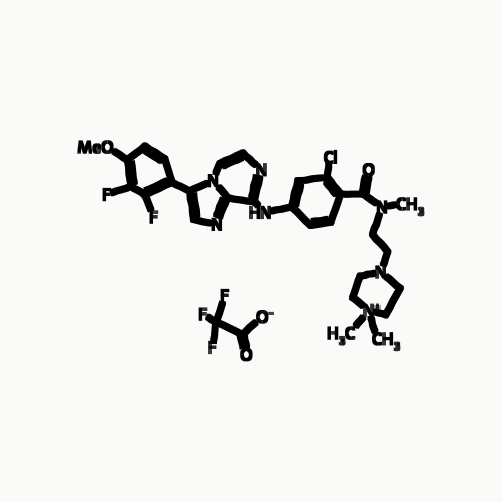 COc1ccc(-c2cnc3c(Nc4ccc(C(=O)N(C)CCN5CC[N+](C)(C)CC5)c(Cl)c4)nccn23)c(F)c1F.O=C([O-])C(F)(F)F